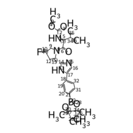 COC(=O)N[C@H](C(=O)N1C[C@H](F)C[C@H]1c1ncc(-c2ccc(B3OC(C)(C)C(C)(C)O3)cc2)[nH]1)C(C)C